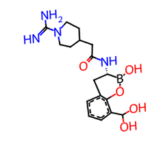 N=C(N)N1CCC(CC(=O)N[C@H]2Cc3cccc(C(O)O)c3OB2O)CC1